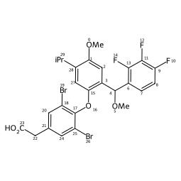 COc1cc(C(OC)c2ccc(F)c(F)c2F)c(Oc2c(Br)cc(CC(=O)O)cc2Br)cc1C(C)C